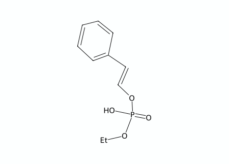 CCOP(=O)(O)OC=Cc1ccccc1